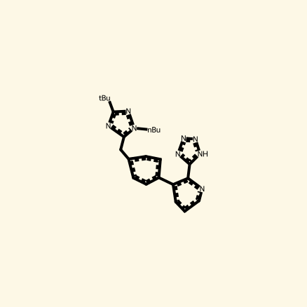 CCCCn1nc(C(C)(C)C)nc1Cc1ccc(-c2cccnc2-c2nnn[nH]2)cc1